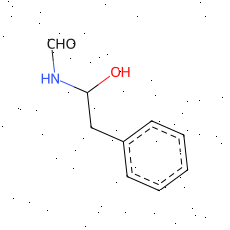 O=CNC(O)Cc1ccccc1